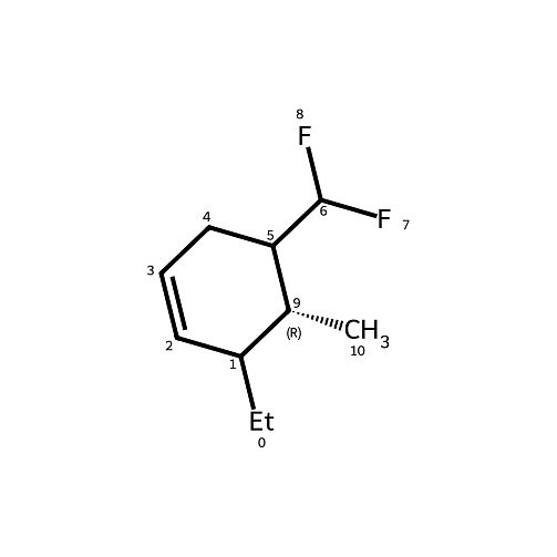 CCC1C=CCC(C(F)F)[C@@H]1C